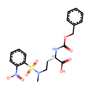 CN(CC[C@H](NC(=O)OCc1ccccc1)C(=O)O)S(=O)(=O)c1ccccc1[N+](=O)[O-]